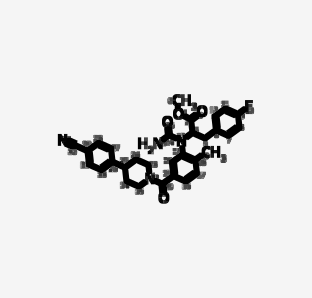 COC(=O)C(Cc1ccc(F)cc1)N(C(N)=O)c1cc(C(=O)N2CCC(c3ccc(C#N)cc3)CC2)ccc1C